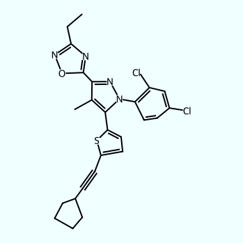 CCc1noc(-c2nn(-c3ccc(Cl)cc3Cl)c(-c3ccc(C#CC4CCCC4)s3)c2C)n1